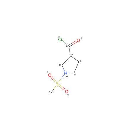 CS(=O)(=O)N1CC[C@@H](C(=O)Cl)C1